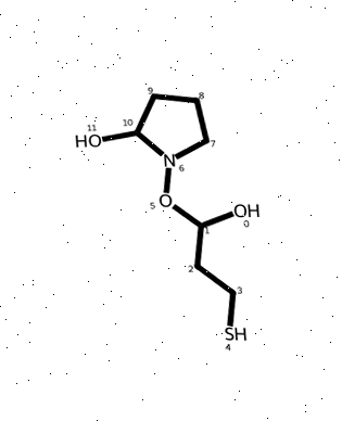 OC(CCS)ON1CCCC1O